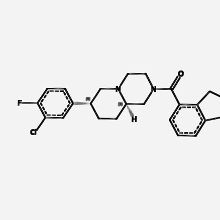 O=C(c1cccc2c1CCN2)N1CCN2C[C@@H](c3ccc(F)c(Cl)c3)CC[C@@H]2C1